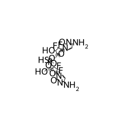 Nc1ccn([C@@H]2O[C@H](COP(=O)(S)OC3[C@@H](CO)O[C@@H](n4ccc(N)nc4=O)C3(F)F)C(O)C2(F)F)c(=O)n1